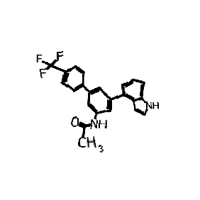 CC(=O)Nc1cc(-c2ccc(C(F)(F)F)cc2)cc(-c2cccc3[nH]ccc23)c1